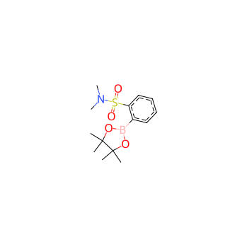 CN(C)S(=O)(=O)c1ccccc1B1OC(C)(C)C(C)(C)O1